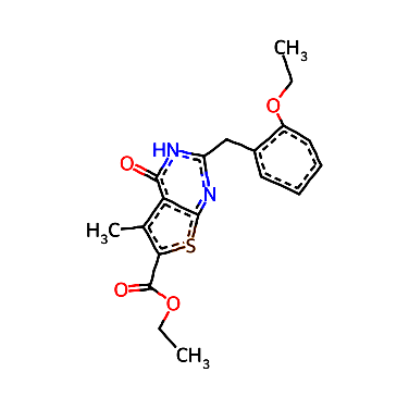 CCOC(=O)c1sc2nc(Cc3ccccc3OCC)[nH]c(=O)c2c1C